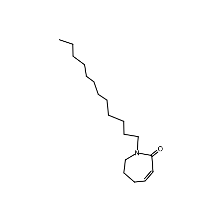 CCCCCCCCCCCCN1CCCC=CC1=O